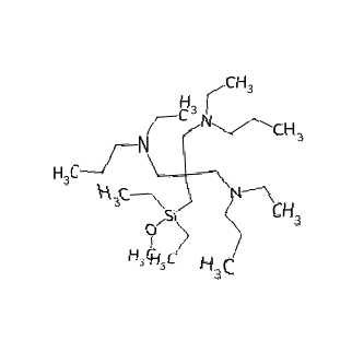 CCCN(CC)CC(CN(CC)CCC)(CN(CC)CCC)C[Si](CC)(CC)OC